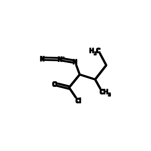 CCC(C)C(N=[N+]=[N-])C(=O)Cl